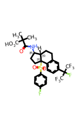 CC(C)(C(=O)O)C(=O)N[C@@H]1CC[C@@]2(S(=O)(=O)c3ccc(F)cc3)c3ccc(C(F)(C(F)(F)F)C(F)(F)F)cc3CC[C@@H]12